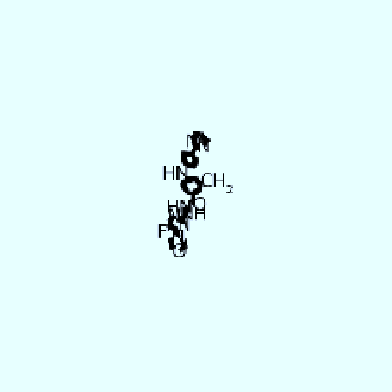 C=C1C=C(Nc2ccc(-c3ncccn3)cc2)C=CC(C(=O)NNc2ncc(F)c(N3CCOCC3)n2)=C1